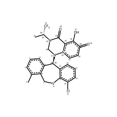 Cc1cccc2c1CSc1c(Cl)cccc1[C@@H]2N1CN([C@H](C)C(F)(F)F)C(=O)c2c(O)c(=O)ccn21